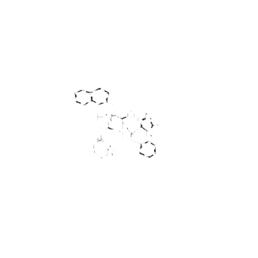 Cc1noc([C@@H](Cc2ccccc2)NC(=O)[C@@H](Cc2ccc3ccccc3c2)NC(=O)O[C@@H]2CCCNC2)n1